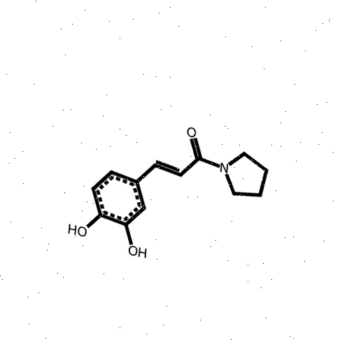 O=C(/C=C/c1ccc(O)c(O)c1)N1CCCC1